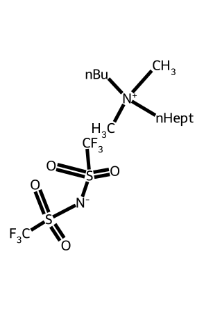 CCCCCCC[N+](C)(C)CCCC.O=S(=O)([N-]S(=O)(=O)C(F)(F)F)C(F)(F)F